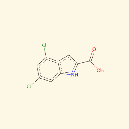 O=C(O)c1cc2c(Cl)cc(Cl)cc2[nH]1